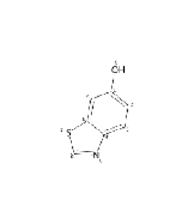 Oc1ccc2n[c]sc2c1